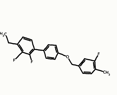 CCc1ccc(-c2ccc(OCc3ccc(C)c(F)c3)cc2)c(F)c1F